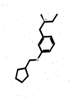 CC[C@H](C)Cc1cccc(OCC2CCCC2)c1